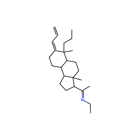 C=C/C=C1/CCC2C(CCC3(C)C(/C(C)=N/CC)CCC23)C1(C)CCC